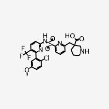 COc1ccc(Cl)c(-c2nc(NS(=O)(=O)c3cccc(CC4(C(=O)O)CCCNC4)n3)ccc2C(F)(F)F)c1